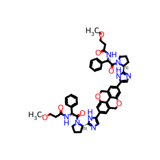 COCCC(=O)N[C@@H](C(=O)N1CCC[C@H]1c1ncc(-c2cc3c4c(c2)OCc2cc(-c5cnc([C@@H]6CCCN6C(=O)[C@H](NC(=O)CCOC)c6ccccc6)[nH]5)cc(c2-4)OC3)[nH]1)c1ccccc1